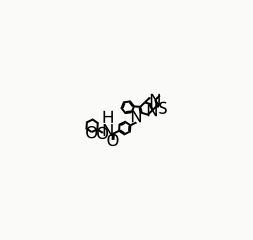 CN1CC2CN(Cc3c2c2ccccc2n3Cc2ccc(C(=O)NOC3CCCCO3)cc2)C1=S